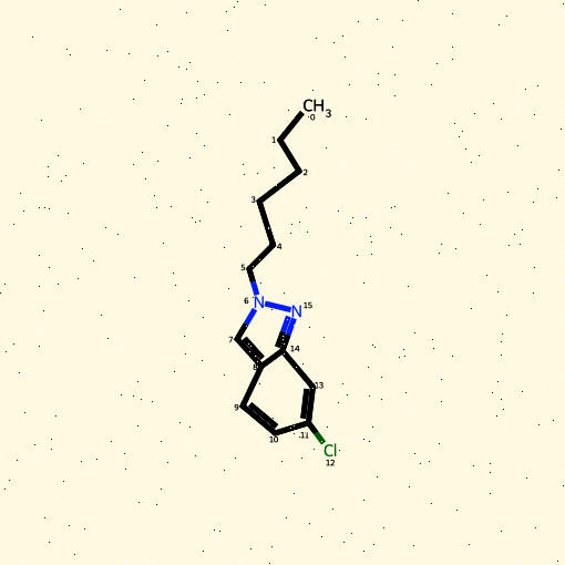 CCCCCCn1cc2ccc(Cl)cc2n1